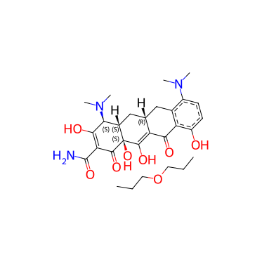 CCCOCCC.CN(C)c1ccc(O)c2c1C[C@H]1C[C@H]3[C@H](N(C)C)C(O)=C(C(N)=O)C(=O)[C@@]3(O)C(O)=C1C2=O